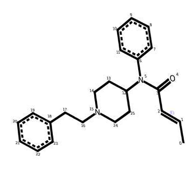 C/C=C/C(=O)N(c1ccccc1)C1CCN(CCc2ccccc2)CC1